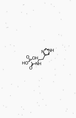 O=C(NCCc1c[nH]cn1)P(=O)(O)O